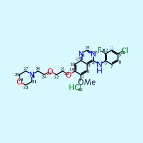 COc1cc2c(Nc3ccc(Cl)cc3F)ncnc2cc1OCCOCCN1CCOCC1.Cl